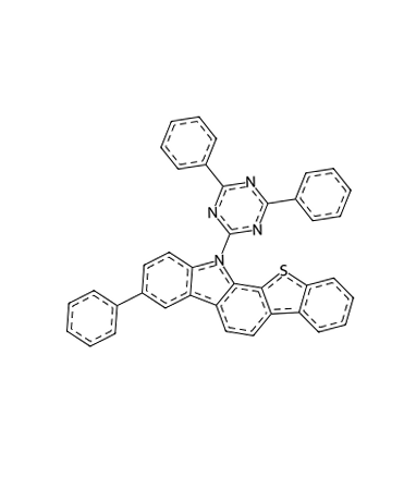 c1ccc(-c2ccc3c(c2)c2ccc4c5ccccc5sc4c2n3-c2nc(-c3ccccc3)nc(-c3ccccc3)n2)cc1